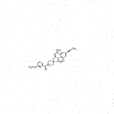 CC#Cc1cc(Cl)c(C2C(=O)CC3(CCN(C(=O)c4cccc(OC)n4)CC3)CC2=O)c(OC)c1